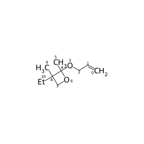 C=CCOC1(C)OCC1(C)CC